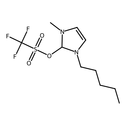 CCCCCN1C=CN(C)C1OS(=O)(=O)C(F)(F)F